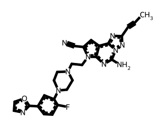 CC#Cc1nc2c3cc(C#N)n(CCN4CCN(c5cc(-c6ncco6)ccc5F)CC4)c3nc(N)n2n1